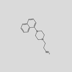 NCCN1CCN(c2cccc3ccccc23)CC1